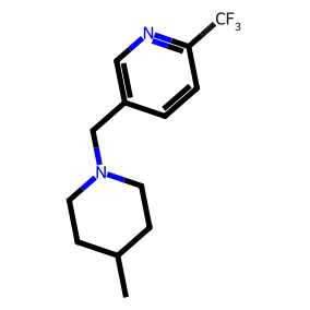 CC1CCN(Cc2ccc(C(F)(F)F)nc2)CC1